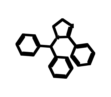 c1ccc(C2=NCCN2C(c2ccccc2)c2ccccc2)cc1